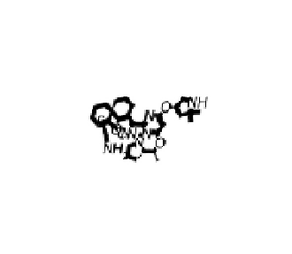 C[C@H](Oc1cc(O[C@H]2CNC(C)(C)C2)nc(-c2noc3c2CCC[C@@]32CCCc3sc(N)c(C#N)c32)n1)[C@@H]1CCCN1C